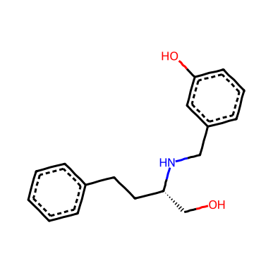 OC[C@H](CCc1ccccc1)NCc1cccc(O)c1